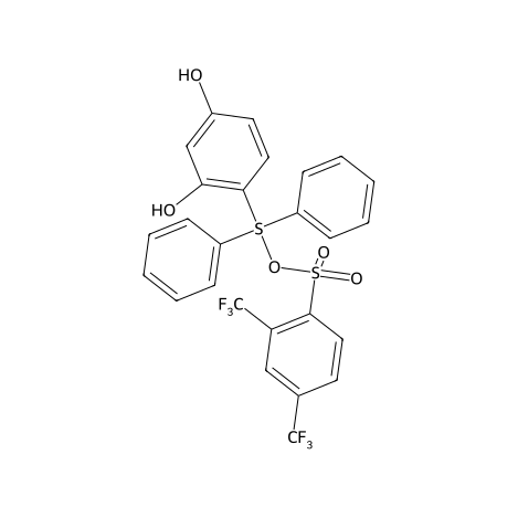 O=S(=O)(OS(c1ccccc1)(c1ccccc1)c1ccc(O)cc1O)c1ccc(C(F)(F)F)cc1C(F)(F)F